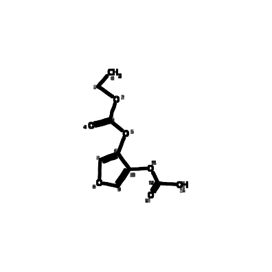 CCOC(=O)Oc1cocc1OC(=O)O